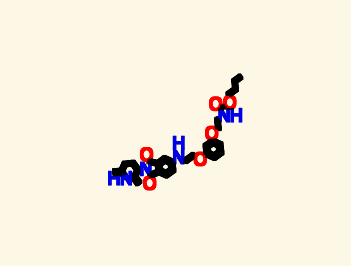 C=C1CCC(N2C(=O)c3ccc(NCCOc4cccc(OCCNC(=O)OCCCC)c4)cc3C2=O)C(=C)N1